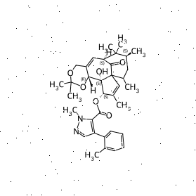 CC1=CC23C(=O)[C@@H](C=C4COC(C)(C)O[C@H]4[C@]2(O)[C@H]1OC(=O)c1c(-c2ccccc2C)cnn1C)C(C)(C)[C@@H](C)CC3C